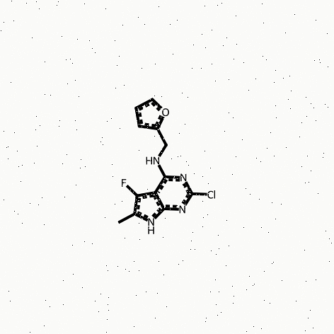 Cc1[nH]c2nc(Cl)nc(NCc3ccco3)c2c1F